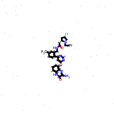 CC(C)CN1C[C@H](F)C[C@H]1CC(=O)NCc1cc(C(F)(F)F)ccc1-c1cc(Oc2cccc3[nH]c(=O)c(N)nc23)ncn1